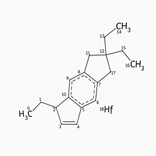 CC[C]1C=Cc2cc3c(cc21)CC(CC)(CC)C3.[Hf]